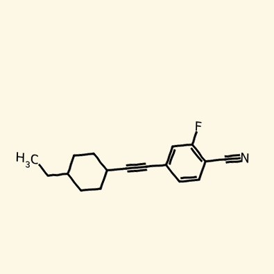 CCC1CCC(C#Cc2ccc(C#N)c(F)c2)CC1